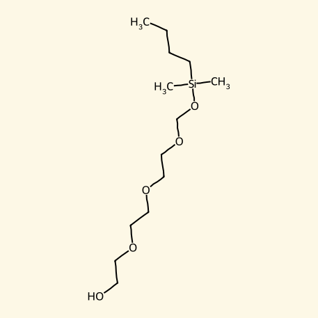 CCCC[Si](C)(C)OCOCCOCCOCCO